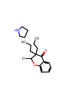 C1CCNC1.CCC1Oc2ccccc2C(=O)C1(CCC#N)CCC#N